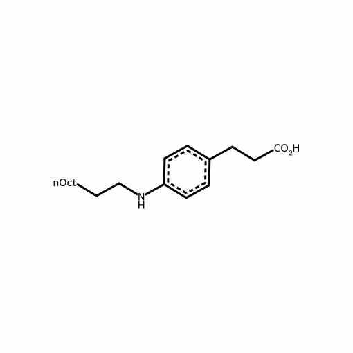 CCCCCCCCCCNc1ccc(CCC(=O)O)cc1